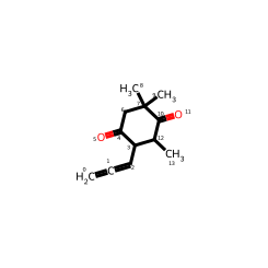 C=C=CC1C(=O)CC(C)(C)C(=O)C1C